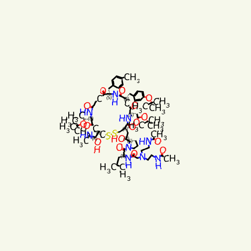 CN[C@H](O)[C@@H]1CSSC[C@H](C[C@@H](O)[C@@H]2CCCN2C(=O)[C@H](CC(C)C)NC(=O)CN(CCNC(C)=O)CCNC(C)=O)C(=O)N[C@@H](CC(=O)OC(C)(C)C)C(=O)C[C@@H](Cc2ccc(OC(C)(C)C)cc2)C(=O)N[C@@H](Cc2ccc(C)cc2)C(=O)CCC(=O)N[C@@H](C(C)OC(C)(C)C)C(=O)C1